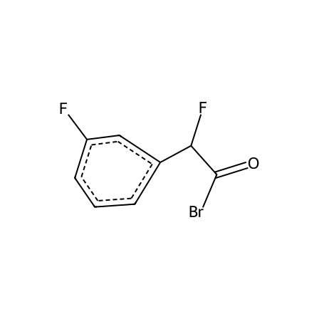 O=C(Br)C(F)c1cccc(F)c1